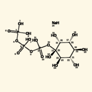 O=P(O)(O)OP(=O)(O)OP(=O)(O)O[C@]1(O)[C@H](O)[C@H](O)[C@@H](O)[C@H](O)[C@H]1O.[NaH]